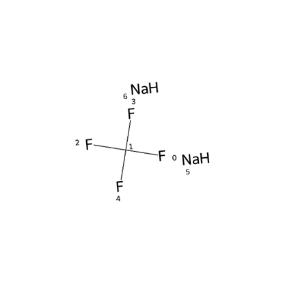 FC(F)(F)F.[NaH].[NaH]